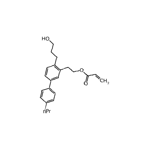 C=CC(=O)OCCc1cc(-c2ccc(CCC)cc2)ccc1CCCO